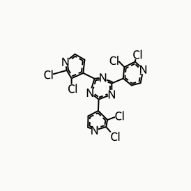 Clc1nccc(-c2nc(-c3ccnc(Cl)c3Cl)nc(-c3ccnc(Cl)c3Cl)n2)c1Cl